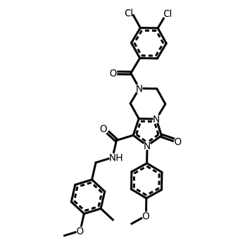 COc1ccc(-n2c(C(=O)NCc3ccc(OC)c(C)c3)c3n(c2=O)CCN(C(=O)c2ccc(Cl)c(Cl)c2)C3)cc1